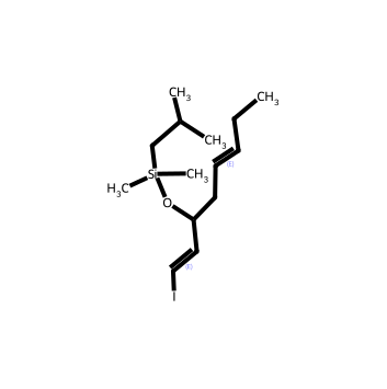 CC/C=C/CC(/C=C/I)O[Si](C)(C)CC(C)C